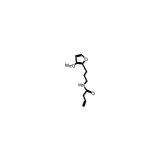 C=CCC(=O)NCCCc1occc1OC